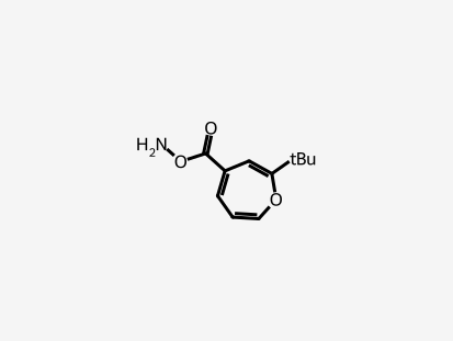 CC(C)(C)C1=CC(C(=O)ON)=CC=CO1